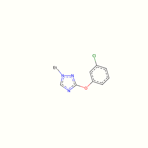 CCn1cnc(Oc2cccc(Cl)c2)n1